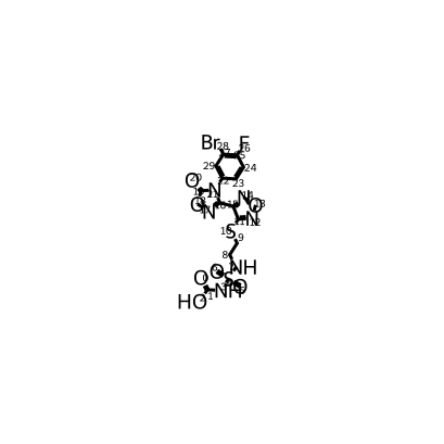 O=C(O)NS(=O)(=O)NCCSc1nonc1-c1noc(=O)n1-c1ccc(F)c(Br)c1